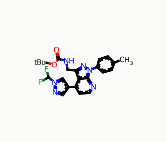 Cc1ccc(-n2nc(CNC(=O)OC(C)(C)C)c3c(-c4cnn(C(F)F)c4)ccnc32)cc1